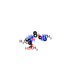 C[C@@H](CO)Oc1cccc(N/C(=C\C(=N)C(C)(C)C)NC(=O)N[C@H]2CC[C@@H](Oc3ccc(=N)n(C(=N)N4CCCC[C@@H]4C)c3)c3ccccc32)c1